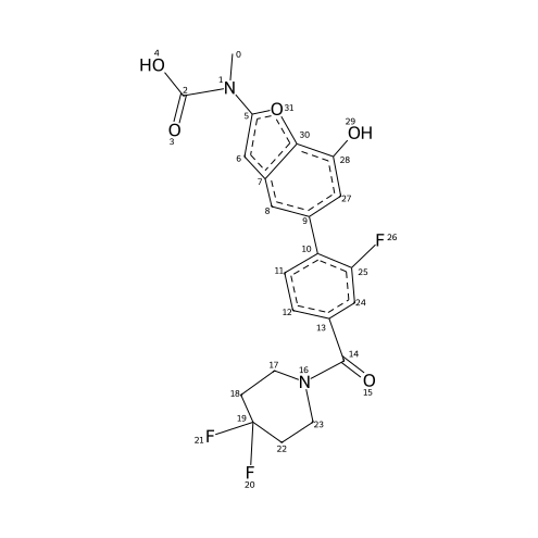 CN(C(=O)O)c1cc2cc(-c3ccc(C(=O)N4CCC(F)(F)CC4)cc3F)cc(O)c2o1